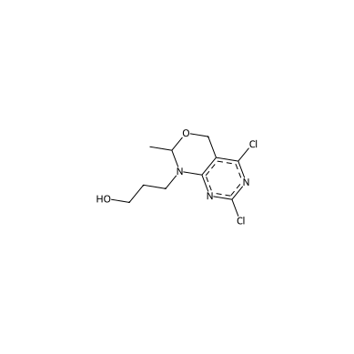 CC1OCc2c(Cl)nc(Cl)nc2N1CCCO